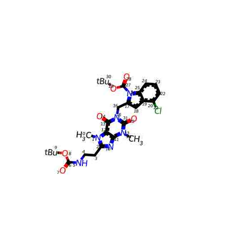 Cn1c(CCNC(=O)OC(C)(C)C)nc2c1c(=O)n(Cc1cc3c(Cl)cccc3n1C(=O)OC(C)(C)C)c(=O)n2C